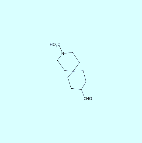 O=CC1CCC2(CC1)CCN(C(=O)O)CC2